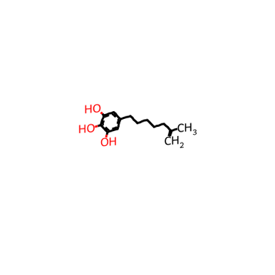 C=C(C)CCCCCc1cc(O)c(O)c(O)c1